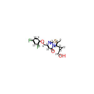 Cc1sc2nc(COc3ccc(F)cc3F)cc(=O)n2c1C1CC1CO